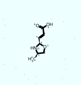 C[C@@H]1CO[C@H](C=CC(=O)O)N1